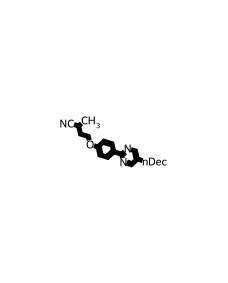 CCCCCCCCCCc1cnc(-c2ccc(OCCC(C)C#N)cc2)nc1